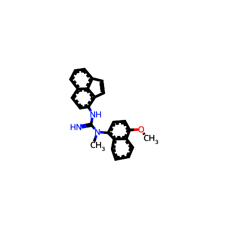 COc1ccc(N(C)C(=N)Nc2ccc3cccc4c3c2C=C4)c2ccccc12